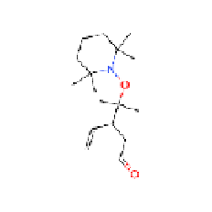 C=CC(CC=O)C(C)(C)ON1C(C)(C)CCCC1(C)C